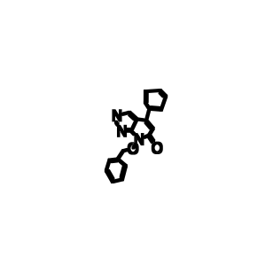 O=c1cc(-c2ccccc2)c2cncnc2n1OCc1ccccc1